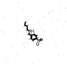 CCCCNCc1ccc([N+](=O)[O-])cc1